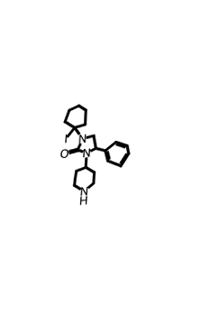 O=C1N(C2CCNCC2)C(c2ccccc2)CN1C1(I)CCCCC1